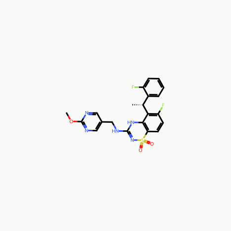 COc1ncc(CNC2=NS(=O)(=O)c3ccc(F)c([C@H](C)c4ccccc4F)c3N2)cn1